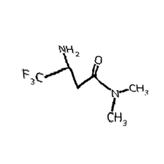 CN(C)C(=O)CC(N)C(F)(F)F